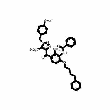 CCOC(=O)c1c(C(=O)c2ccc(OCCCCc3ccccc3)c(NC(=O)c3ccccc3)c2[N+](=O)[O-])nnn1Cc1ccc(OC)cc1